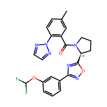 Cc1ccc(-n2nccn2)c(C(=O)N2CCC[C@H]2c2nc(-c3cccc(OC(F)F)c3)no2)c1